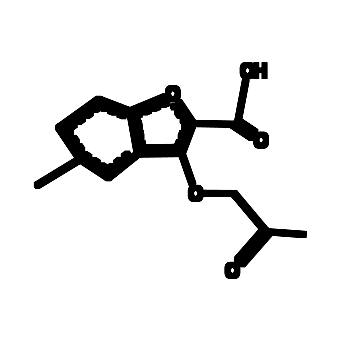 CC(=O)COc1c(C(=O)O)oc2ccc(C)cc12